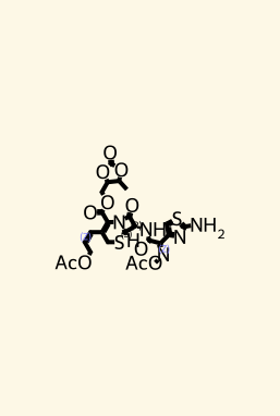 CC(=O)OC/C=C\C1=C(C(=O)OCC2OC(=O)OC2C)N2C(=O)[C@@H](NC(=O)/C(=N\OC(C)=O)c3csc(N)n3)[C@@H]2SC1